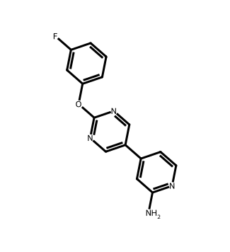 Nc1cc(-c2cnc(Oc3cccc(F)c3)nc2)ccn1